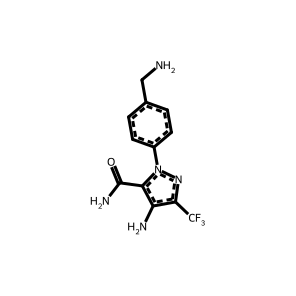 NCc1ccc(-n2nc(C(F)(F)F)c(N)c2C(N)=O)cc1